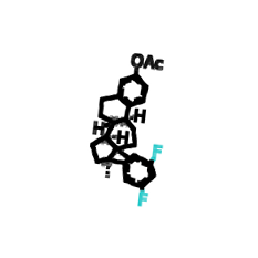 CC(=O)Oc1ccc2c(c1)CC[C@@H]1[C@@H]2CC[C@@]2(C)[C@H]1CC[C@]2(C)c1cc(F)cc(F)c1